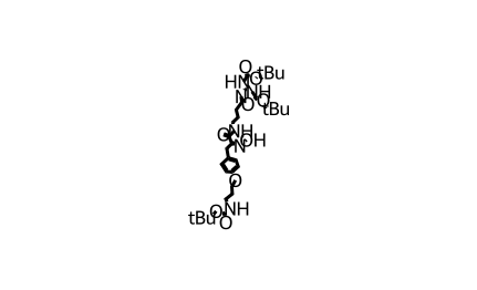 CC(C)(C)OC(=O)NCCCOc1ccc(CC(=NO)C(=O)NCCCCN=C(NC(=O)OC(C)(C)C)NC(=O)OC(C)(C)C)cc1